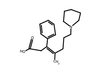 CC(CCCN1CCCCC1)=C(CC(=O)O)c1ccccc1